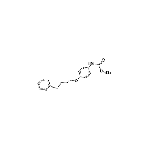 CC(C)(C)OC(=O)Nc1ccc(OCCCCc2ccccc2)cc1